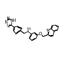 CCC(Cc1ccc(-c2nnn[nH]2)cc1)c1cccc(OCc2ccc3ccccc3n2)c1